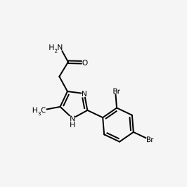 Cc1[nH]c(-c2ccc(Br)cc2Br)nc1CC(N)=O